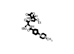 CCO[C@H]1CN(C(=O)[C@H](CC(C)(C)C)NC(=O)c2ccc(N3CCN(C)CC3)cc2)[C@@H]2C(=O)CO[C@H]12